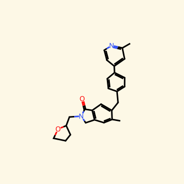 Cc1cc(-c2ccc(Cc3cc4c(cc3C)CN(CC3CCCO3)C4=O)cc2)ccn1